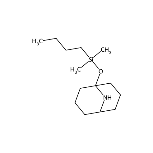 CCCC[Si](C)(C)OC12CCCC(CCC1)N2